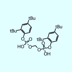 CC(C)(C)c1ccc(OP(=O)(O)OCOP(=O)(O)Oc2ccc(C(C)(C)C)cc2C(C)(C)C)c(C(C)(C)C)c1